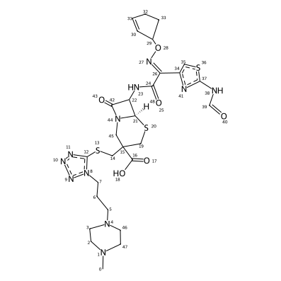 CN1CCN(CCCn2nnnc2SCC2(C(=O)O)CS[C@@H]3C(NC(=O)C(=NOC4C=CCC4)c4csc(NC=O)n4)C(=O)N3C2)CC1